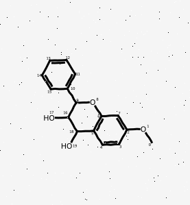 COc1ccc2c(c1)OC(c1ccccc1)C(O)C2O